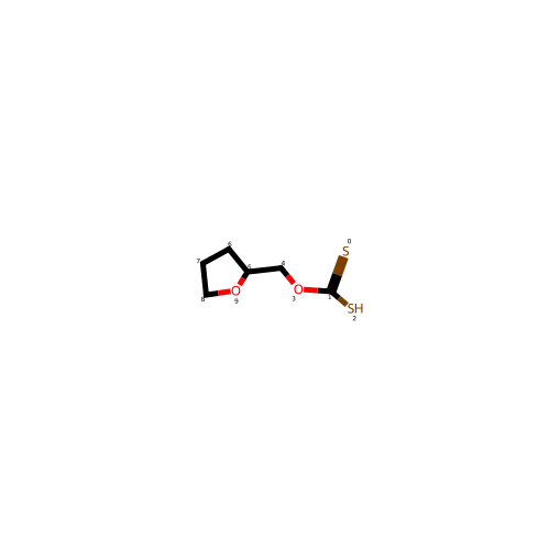 S=C(S)OCC1CCCO1